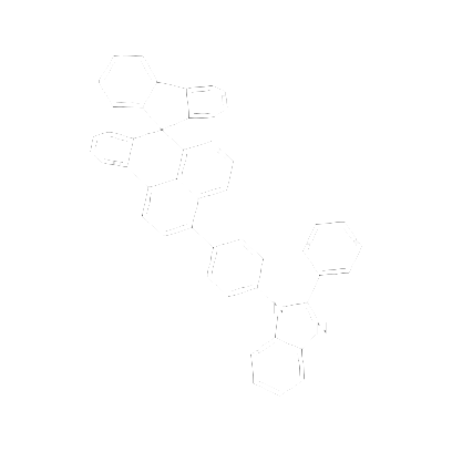 c1ccc(-c2nc3ccccc3n2-c2ccc(-c3ccc4c5c(cccc35)C3(c5ccccc5-c5ccccc53)c3ccccc3-4)cc2)cc1